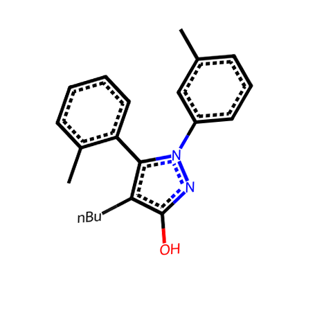 CCCCc1c(O)nn(-c2cccc(C)c2)c1-c1ccccc1C